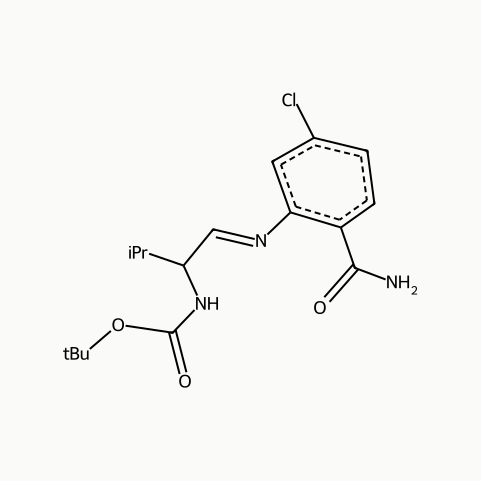 CC(C)C(C=Nc1cc(Cl)ccc1C(N)=O)NC(=O)OC(C)(C)C